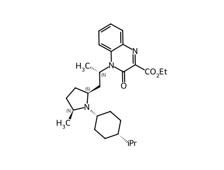 CCOC(=O)c1nc2ccccc2n([C@@H](C)C[C@@H]2CC[C@H](C)N2[C@H]2CC[C@@H](C(C)C)CC2)c1=O